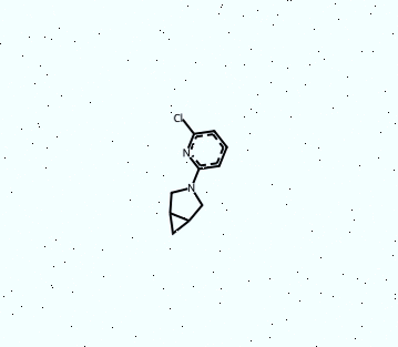 Clc1cccc(N2CC3CC3C2)n1